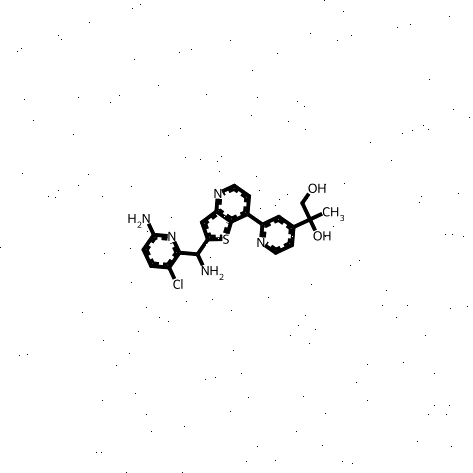 CC(O)(CO)c1ccnc(-c2ccnc3cc(C(N)c4nc(N)ccc4Cl)sc23)c1